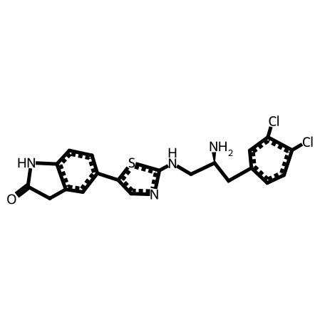 N[C@H](CNc1ncc(-c2ccc3c(c2)CC(=O)N3)s1)Cc1ccc(Cl)c(Cl)c1